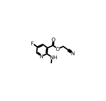 CNc1ncc(F)cc1C(=O)OCC#N